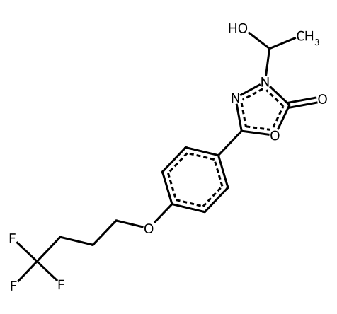 CC(O)n1nc(-c2ccc(OCCCC(F)(F)F)cc2)oc1=O